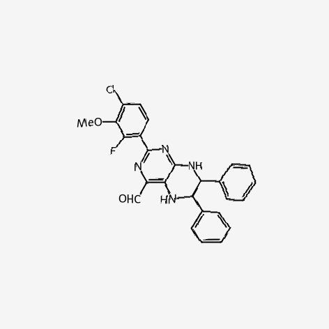 COc1c(Cl)ccc(-c2nc(C=O)c3c(n2)NC(c2ccccc2)C(c2ccccc2)N3)c1F